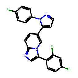 Fc1ccc(-n2nccc2-c2ccc3ncc(-c4ccc(Cl)cc4F)n3c2)cc1